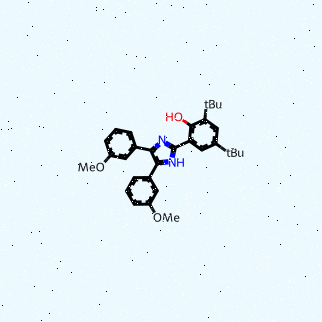 COc1cccc(-c2nc(-c3cc(C(C)(C)C)cc(C(C)(C)C)c3O)[nH]c2-c2cccc(OC)c2)c1